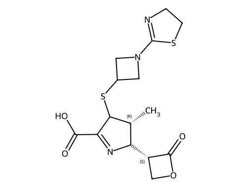 C[C@H]1C(SC2CN(C3=NCCS3)C2)C(C(=O)O)=NC1[C@H]1COC1=O